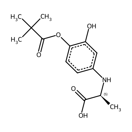 C[C@H](Nc1ccc(OC(=O)C(C)(C)C)c(O)c1)C(=O)O